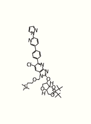 CC(C)(C)[Si]1(C(C)(C)C)OC[C@H]2OC[C@@H](Oc3nc4nc(-c5ccc(-c6ccc(-n7cccn7)nc6)cc5)c(Cl)cc4n3COCC[Si](C)(C)C)[C@@H]2O1